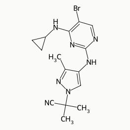 Cc1nn(C(C)(C)C#N)cc1Nc1ncc(Br)c(NC2CC2)n1